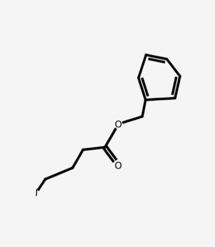 O=C(CCCI)OCc1ccccc1